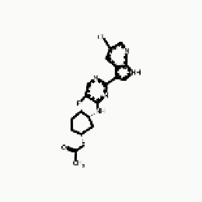 CC(=O)C[C@@H]1CCC[C@H](Nc2nc(-c3c[nH]c4ncc(Cl)cc34)ncc2F)C1